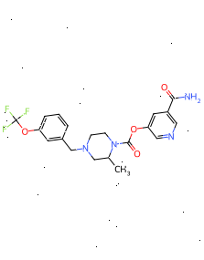 CC1CN(Cc2cccc(OC(F)(F)F)c2)CCN1C(=O)Oc1cncc(C(N)=O)c1